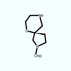 O=CN1CC[C@@]2(CNCCO2)C1